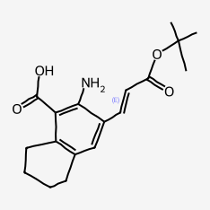 CC(C)(C)OC(=O)/C=C/c1cc2c(c(C(=O)O)c1N)CCCC2